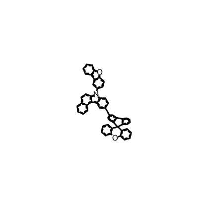 c1ccc2c(c1)Oc1ccccc1C21c2ccccc2-c2cc(-c3ccc4c(c3)c3c5ccccc5ccc3n4-c3ccc4oc5ccccc5c4c3)ccc21